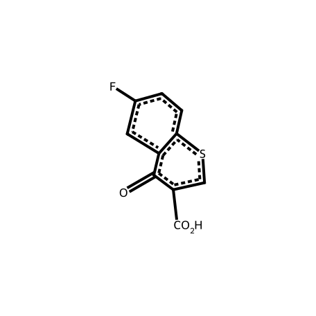 O=C(O)c1csc2ccc(F)cc2c1=O